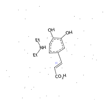 CCNCC.O=C(O)/C=C/c1ccc(O)c(O)c1